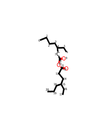 CCCCC(CC)CC(=O)OC(=O)CCC(CC)CCC